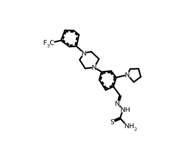 NC(=S)N/N=C/c1ccc(N2CCN(c3cccc(C(F)(F)F)c3)CC2)cc1N1CCCC1